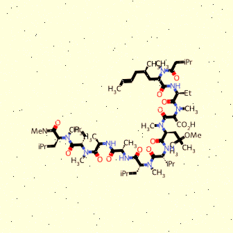 C/C=C/C[C@@H](C)CC(C(=O)N[C@@H](CC)C(=O)N(C)C(C(=O)O)C(=O)N(C)[C@@H](CC(C)(C)OC)C(=O)N[C@@H](C(=O)N(C)[C@H](CC(C)C)C(=O)N[C@@H](C)C(=O)N[C@H](C)C(=O)N(C)[C@@H](CC(C)C)C(=O)N(C)[C@@H](CC(C)C)C(=O)NC)C(C)C)N(C)C(=O)CC(C)C